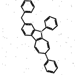 C1=CC(c2ccccc2)C=Cc2c1c1ccc(Cc3ccccc3)cc1n2-c1ccccc1